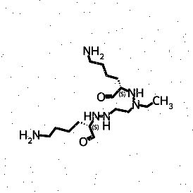 CCN(CCNN[C@H](C=O)CCCCN)N[C@H](C=O)CCCCN